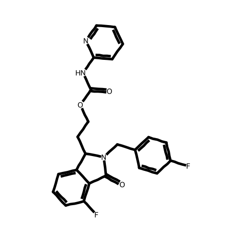 O=C(Nc1ccccn1)OCCC1c2cccc(F)c2C(=O)N1Cc1ccc(F)cc1